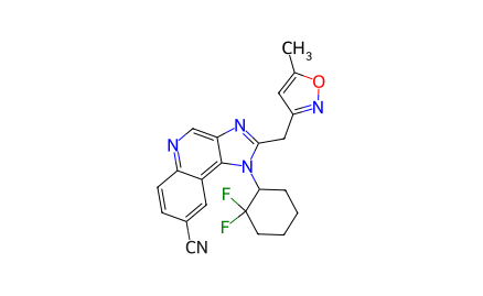 Cc1cc(Cc2nc3cnc4ccc(C#N)cc4c3n2C2CCCCC2(F)F)no1